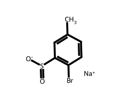 Cc1ccc(Br)c(S(=O)[O-])c1.[Na+]